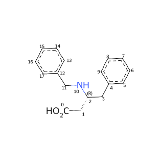 O=C(O)C[C@@H](Cc1ccccc1)NCc1ccccc1